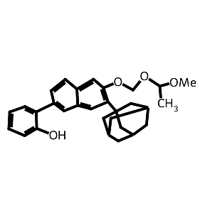 COC(C)OCOc1cc2ccc(-c3ccccc3O)cc2cc1C12CC3CC(CC(C3)C1)C2